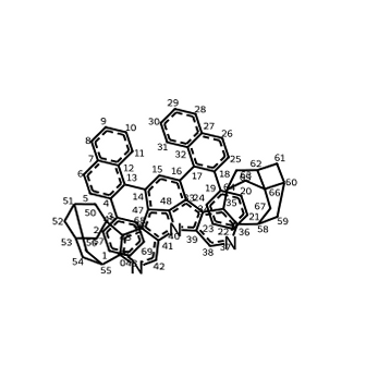 c1ccc(-c2ccc3ccccc3c2-c2cc(-c3c(-c4ccccc4)ccc4ccccc34)c3c4c5c(ncc4n4c6cnc7c(c6c2c34)C2CC3CC(CC7C3)C2)C2CC3CC4CC5CC34C2)cc1